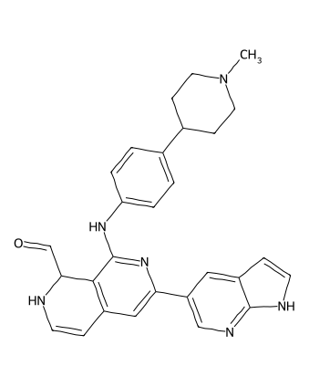 CN1CCC(c2ccc(Nc3nc(-c4cnc5[nH]ccc5c4)cc4c3C(C=O)NC=C4)cc2)CC1